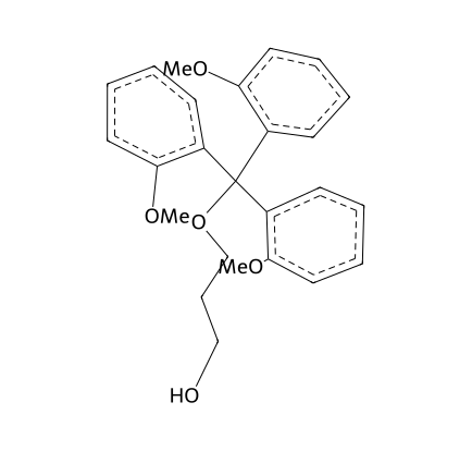 COc1ccccc1C(OCCCO)(c1ccccc1OC)c1ccccc1OC